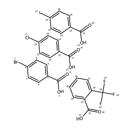 O=C(O)c1ccc(Br)cc1.O=C(O)c1ccc(Cl)cc1.O=C(O)c1ccc(I)cc1.O=C(O)c1ccccc1C(F)(F)F